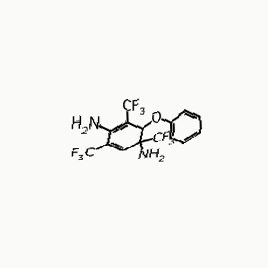 NC1=C(C(F)(F)F)C(Oc2ccccc2)C(N)(C(F)(F)F)C=C1C(F)(F)F